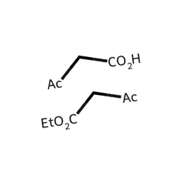 CC(=O)CC(=O)O.CCOC(=O)CC(C)=O